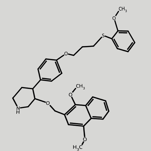 COc1ccccc1SCCCOc1ccc(C2CCNCC2OCc2cc(OC)c3ccccc3c2OC)cc1